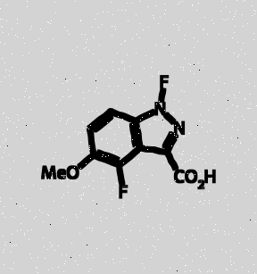 COc1ccc2c(c(C(=O)O)nn2F)c1F